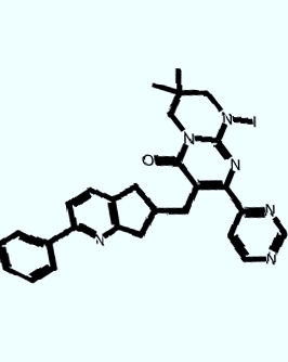 CC1(C)CN(I)c2nc(-c3ccncn3)c(CC3Cc4ccc(-c5ccccc5)nc4C3)c(=O)n2C1